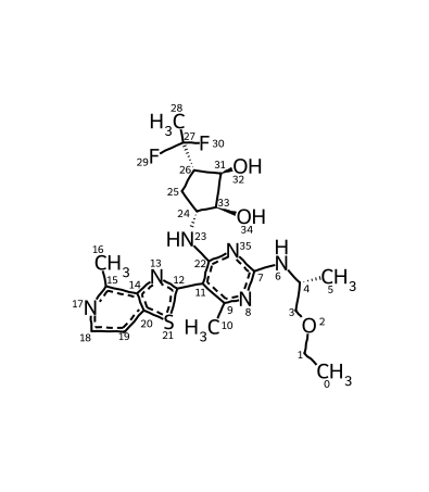 CCOC[C@@H](C)Nc1nc(C)c(-c2nc3c(C)nccc3s2)c(N[C@@H]2C[C@H](C(C)(F)F)[C@@H](O)[C@H]2O)n1